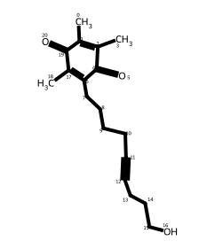 CC1=C(C)C(=O)C(CCCCC#CCCCO)=C(C)C1=O